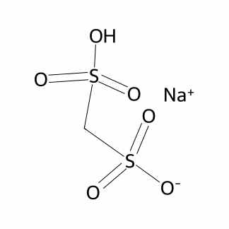 O=S(=O)([O-])CS(=O)(=O)O.[Na+]